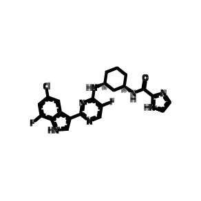 O=C(N[C@@H]1CCC[C@H](Nc2nc(-c3c[nH]c4c(F)cc(Cl)cc34)ncc2F)C1)c1ncc[nH]1